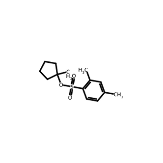 Cc1ccc(S(=O)(=O)OC2(C)CCCC2)c(C)c1